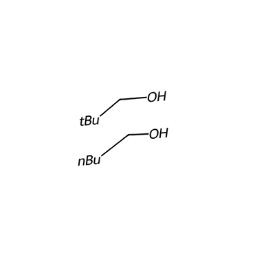 CC(C)(C)CO.CCCCCO